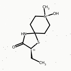 CC[C@@H]1SC2(CC[N+](C)(O)CC2)NC1=O